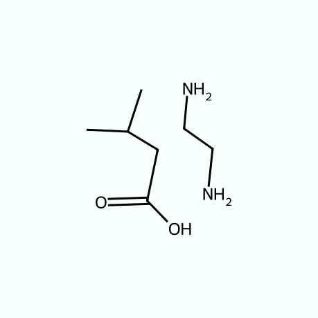 CC(C)CC(=O)O.NCCN